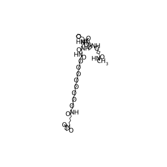 CNC(=O)[C@H]1C[C@@H](OCNC(=O)CNC(=O)[C@H](Cc2ccccc2)NC(=O)CNC(=O)CNC(=O)COCCOCCOCCOCCOCCOCCOCCOCCNC(=O)CCCCCN2C(=O)C=CC2=O)C1